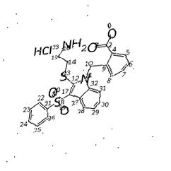 COC(=O)c1ccccc1Cn1c(SCCN)c(S(=O)(=O)c2ccccc2)c2ccccc21.Cl